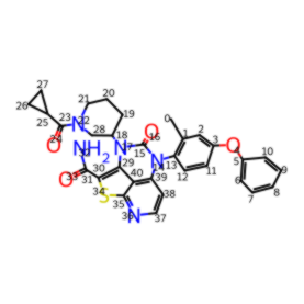 Cc1cc(Oc2ccccc2)ccc1N1C(=O)N(C2CCCN(C(=O)C3CC3)C2)c2c(C(N)=O)sc3nccc1c23